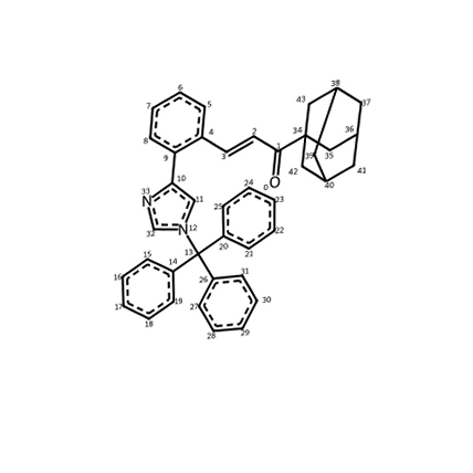 O=C(/C=C/c1ccccc1-c1cn(C(c2ccccc2)(c2ccccc2)c2ccccc2)cn1)C12CC3CC(CC(C3)C1)C2